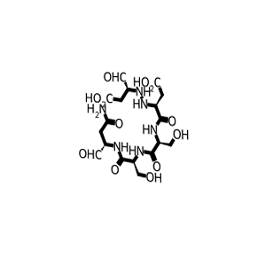 NC(=O)C[C@@H](C=O)NC(=O)[C@H](CO)NC(=O)[C@H](CO)NC(=O)[C@H](CC(=O)O)NN[C@H](C=O)CC(=O)O